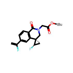 C=C(F)c1ccc2c(c1)[C@@]1(C[C@H]1F)CN(CC(=O)OC(C)(C)C)C2=O